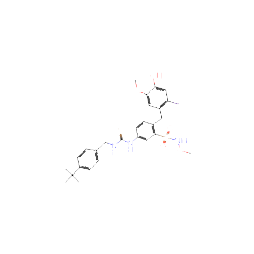 CONS(=O)(=O)c1cc(NC(=S)NCc2ccc(C(C)(C)C)cc2)ccc1Cc1cc(OC)c(O)cc1I